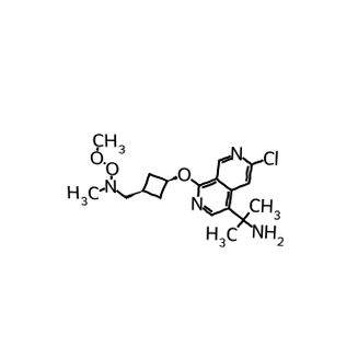 COON(C)C[C@H]1C[C@@H](Oc2ncc(C(C)(C)N)c3cc(Cl)ncc23)C1